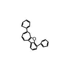 C1=Cc2c(oc3c(-c4ccccc4)cccc23)CC(c2ccccc2)=C1